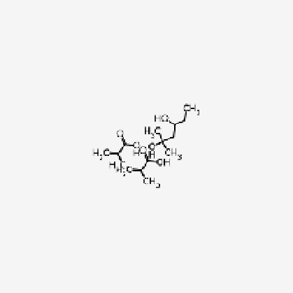 C=C(C)C(=O)O.C=C(C)C(=O)O.CCC(O)CC(C)(C)O